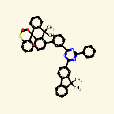 CC1(C)c2ccccc2-c2ccc(-c3nc(-c4ccccc4)nc(-c4cccc(-c5cccc6c5C(C)(C)c5ccccc5C65c6ccccc6Sc6ccccc65)c4)n3)cc21